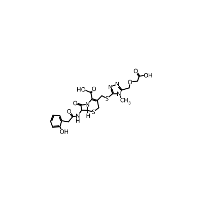 Cn1c(COCC(=O)O)nnc1SCC1=C(C(=O)O)N2C(=O)C(NC(=O)Cc3ccccc3O)[C@H]2SC1